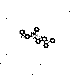 C1=CC2C(c3ccccc3N2c2ccccc2)c2c1oc1c(-c3nc(-c4ccccc4)nc(-c4ccc5oc6ccccc6c5c4)n3)cccc21